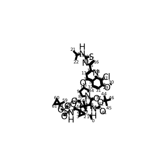 CC[C@@H]1C[C@]1(NC(=O)[C@@H]1C[C@@H](Oc2cc(-c3csc(NC(C)C)n3)nc3c(Cl)c(OC)ccc23)CN1C(=O)[C@@H](NC(=O)OC(C)(C)C)C(C)(C)C)C(=O)NS(=O)(=O)OC1(C)CC1